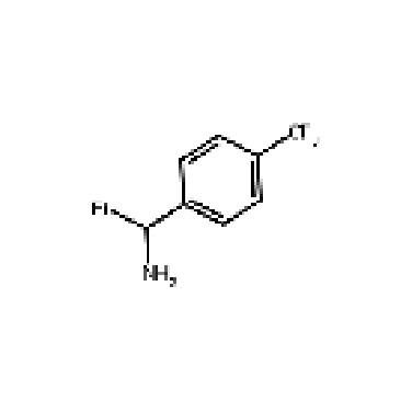 CCC(N)c1ccc(C(F)(F)F)cc1